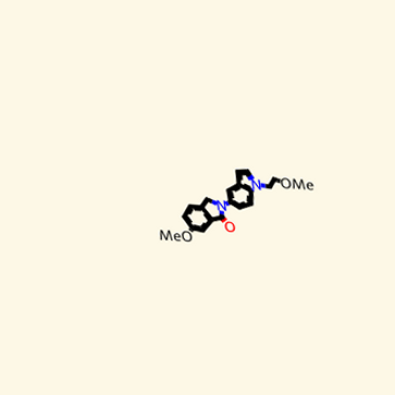 COCCn1ccc2cc(N3Cc4ccc(OC)cc4C3=O)ccc21